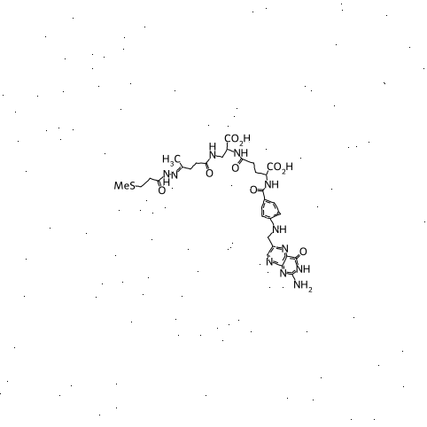 CSCCC(=O)N/N=C(\C)CCC(=O)NCC(NC(=O)CCC(NC(=O)c1ccc(NCc2cnc3nc(N)[nH]c(=O)c3n2)cc1)C(=O)O)C(=O)O